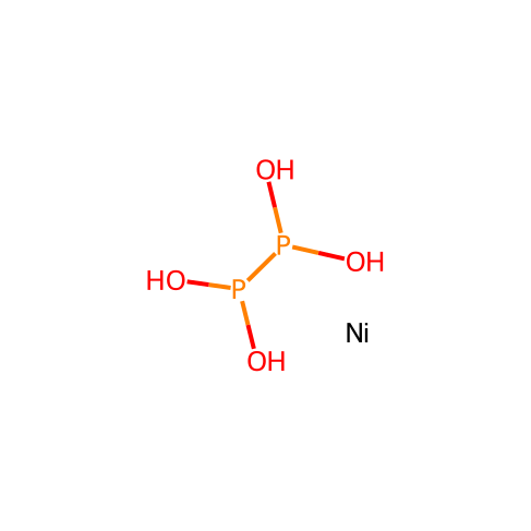 OP(O)P(O)O.[Ni]